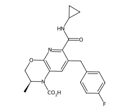 C[C@H]1COc2nc(C(=O)NC3CC3)c(Cc3ccc(F)cc3)cc2N1C(=O)O